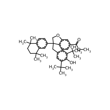 COC(=O)c1ccc2c(c1)OCC2(Cc1cc(C(C)(C)C)c(O)c(C(C)(C)C)c1)c1ccc2c(c1)C(C)(C)CCC2(C)C